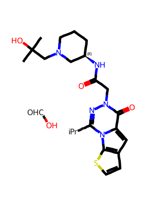 CC(C)c1nn(CC(=O)N[C@@H]2CCCN(CC(C)(C)O)C2)c(=O)c2cc3ccsc3n12.O=CO